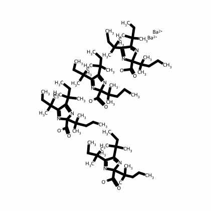 CCCC(C)(C)C1(C(=O)[O-])N=C(C(C)(C)CC)C(C(C)(C)CC)=N1.CCCC(C)(C)C1(C(=O)[O-])N=C(C(C)(C)CC)C(C(C)(C)CC)=N1.CCCC(C)(C)C1(C(=O)[O-])N=C(C(C)(C)CC)C(C(C)(C)CC)=N1.CCCC(C)(C)C1(C(=O)[O-])N=C(C(C)(C)CC)C(C(C)(C)CC)=N1.[Ba+2].[Ba+2]